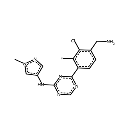 Cn1cc(Nc2ncnc(-c3ccc(CN)c(Cl)c3F)n2)cn1